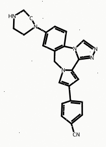 N#Cc1ccc(-c2cc3n(c2)Cc2cc(N4CCNCC4)ccc2-n2cnnc2-3)cc1